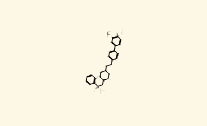 C[C@@H](CC1CCC(CCc2ccc(-c3ccc(Cl)c(F)c3)cc2)CC1)c1ccccc1